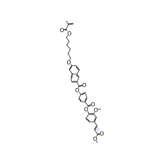 C=C(C)C(=O)OCCCCCCOc1ccc2cc(C(=O)Oc3ccc(C(=O)Oc4ccc(/C=C/C(=O)OC)cc4OC)cc3)ccc2c1